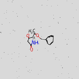 C[C@@H](OCc1ccccc1)[C@@H]1NC(=O)CC1=O